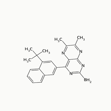 Bc1nc(-c2cc(C(C)(C)C)c3ccccc3c2)c2nc(C)c(C)nc2n1